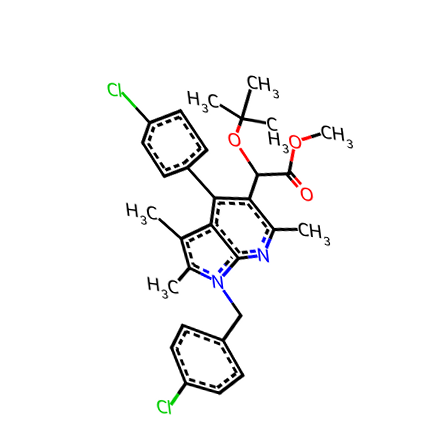 COC(=O)C(OC(C)(C)C)c1c(C)nc2c(c(C)c(C)n2Cc2ccc(Cl)cc2)c1-c1ccc(Cl)cc1